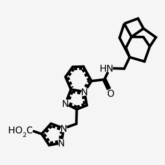 O=C(O)c1cnn(Cc2cn3c(C(=O)NCC45CC6CC7CC(C4)C7(C6)C5)cccc3n2)c1